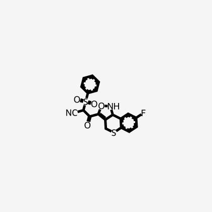 N#CC(C(=O)C1=C2CSc3ccc(F)cc3C2NO1)S(=O)(=O)c1ccccc1